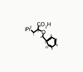 CC(C)CC(OCc1ccccc1)C(=O)O